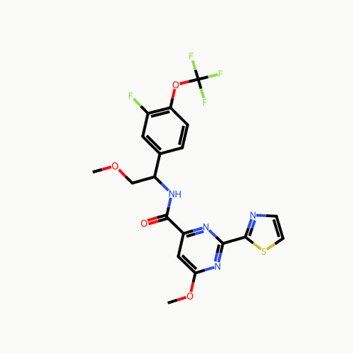 COCC(NC(=O)c1cc(OC)nc(-c2nccs2)n1)c1ccc(OC(F)(F)F)c(F)c1